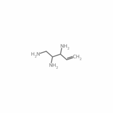 C=CC(N)C(N)CN